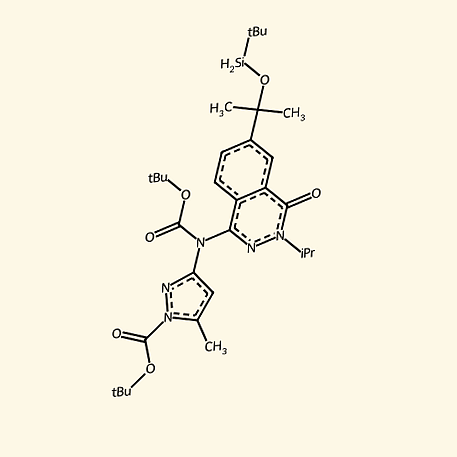 Cc1cc(N(C(=O)OC(C)(C)C)c2nn(C(C)C)c(=O)c3cc(C(C)(C)O[SiH2]C(C)(C)C)ccc23)nn1C(=O)OC(C)(C)C